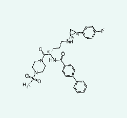 CS(=O)(=O)N1CCN(C(=O)[C@H](CCCN[C@@H]2C[C@H]2c2ccc(F)cc2)NC(=O)c2ccc(-c3ccccc3)cc2)CC1